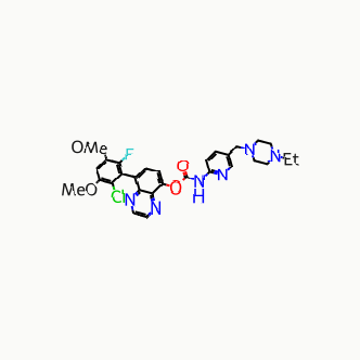 CCN1CCN(Cc2ccc(NC(=O)Oc3ccc(-c4c(F)c(OC)cc(OC)c4Cl)c4nccnc34)nc2)CC1